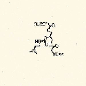 CCCCCCCCCCCC(=O)OCC(COC(=O)CCCCCCCCCCC)OC(=O)NCCN(C)C